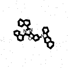 c1ccc2cc3c(cc2c1)c1ccccc1n3-c1ccc2oc3c(-c4cccc5ccccc45)nc(-c4cccc5ccccc45)nc3c2c1